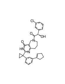 O=C([C@H](O)c1cccc(Cl)c1)N1CCCc2nc(C3(c4cccc(C5=CCCC5)c4)CC3)[nH]c(=O)c2C1